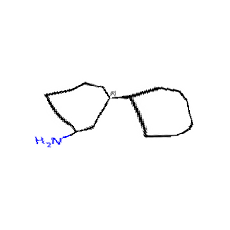 NC1CCC[C@@H](C2CCCCC2)C1